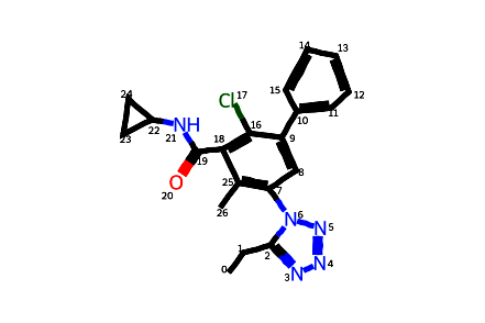 CCc1nnnn1-c1cc(-c2ccccc2)c(Cl)c(C(=O)NC2CC2)c1C